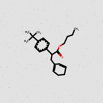 CCCCOC(=O)C(CC1=CCCC=C1)c1ccc(C(C)(C)C)cc1